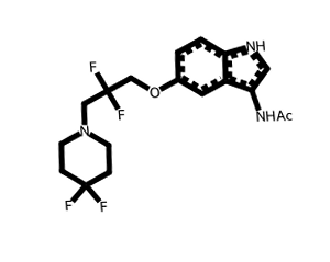 CC(=O)Nc1c[nH]c2ccc(OCC(F)(F)CN3CCC(F)(F)CC3)cc12